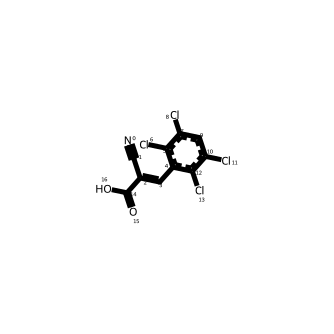 N#CC(=Cc1c(Cl)c(Cl)cc(Cl)c1Cl)C(=O)O